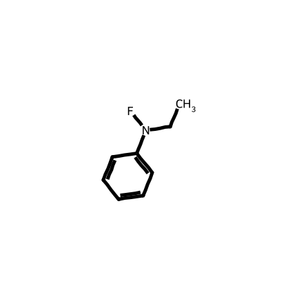 CCN(F)c1ccccc1